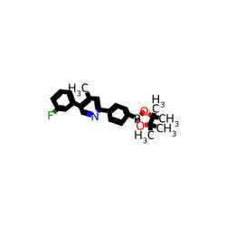 Cc1cc(-c2ccc(B3OC(C)(C)C(C)(C)O3)cc2)ncc1-c1cccc(F)c1